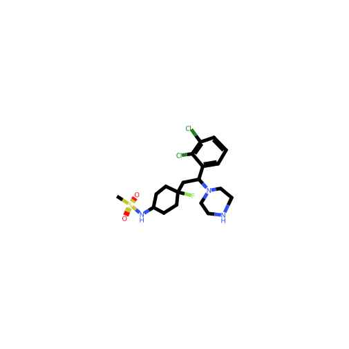 CS(=O)(=O)NC1CCC(F)(CC(c2cccc(Cl)c2Cl)N2CCNCC2)CC1